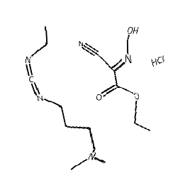 CCN=C=NCCCN(C)C.CCOC(=O)C(C#N)=NO.Cl